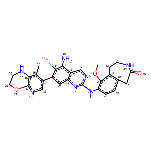 COc1c(Nc2ncc3c(N)c(F)c(-c4cnc5c(c4C)NCCO5)cc3n2)ccc2c1CCNC(=O)C2